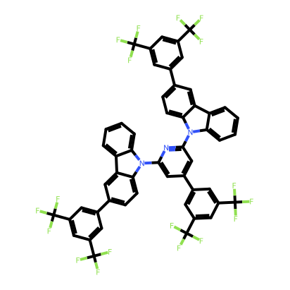 FC(F)(F)c1cc(-c2cc(-n3c4ccccc4c4cc(-c5cc(C(F)(F)F)cc(C(F)(F)F)c5)ccc43)nc(-n3c4ccccc4c4cc(-c5cc(C(F)(F)F)cc(C(F)(F)F)c5)ccc43)c2)cc(C(F)(F)F)c1